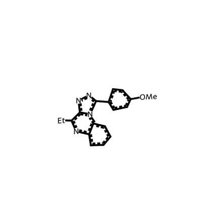 CCc1nc2ccccc2n2c(-c3ccc(OC)cc3)nnc12